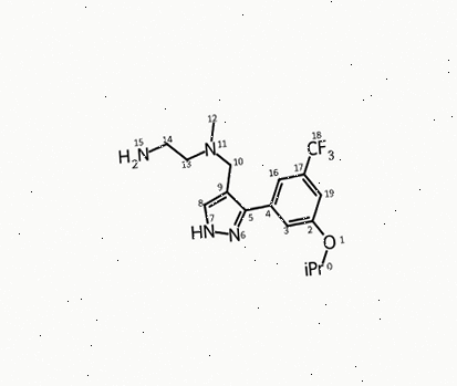 CC(C)Oc1cc(-c2n[nH]cc2CN(C)CCN)cc(C(F)(F)F)c1